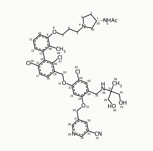 CC(=O)N[C@H]1CCN(CCCOc2cccc(-c3c(Cl)ccc(COc4cc(OCc5cncc(C#N)c5)c(CNC(C)(CO)CO)cc4Cl)c3Cl)c2C)C1